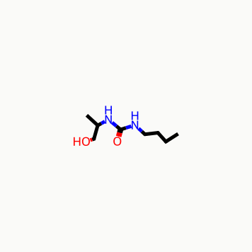 CCCCNC(=O)NC(C)CO